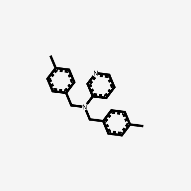 Cc1ccc(CN(Cc2ccc(C)cc2)c2cccnc2)cc1